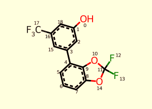 Oc1cc(-c2cccc3c2OC(F)(F)O3)cc(C(F)(F)F)c1